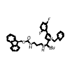 CC(C)(C)C(NCCCNC(=O)OCC1c2ccccc2-c2ccccc21)c1cc(-c2cc(F)ccc2F)cn1Cc1ccccc1